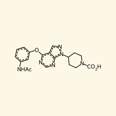 CC(=O)Nc1cccc(Oc2ncnc3c2cnn3C2CCN(C(=O)O)CC2)c1